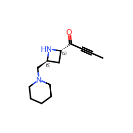 CC#CC(=O)[C@@H]1C[C@@H](CN2CCCCC2)N1